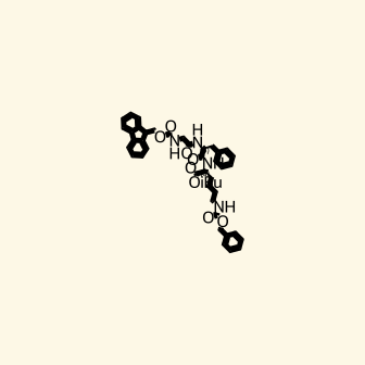 CC(C)COC(=O)[C@H](CCCCNC(=O)OCc1ccccc1)NC(=O)[C@H](Cc1ccccc1)NC(=O)CNC(=O)OCC1c2ccccc2-c2ccccc21